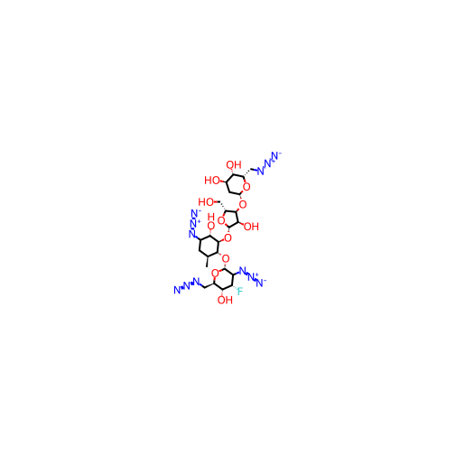 C[C@H]1CC(N=[N+]=[N-])[C@H](O)[C@@H](O[C@@H]2O[C@H](CO)[C@@H](O[C@@H]3C[C@@H](O)[C@H](O)[C@H](CN=[N+]=[N-])O3)[C@H]2O)[C@@H]1O[C@H]1O[C@H](CN=[N+]=[N-])[C@@H](O)[C@@H](F)C1N=[N+]=[N-]